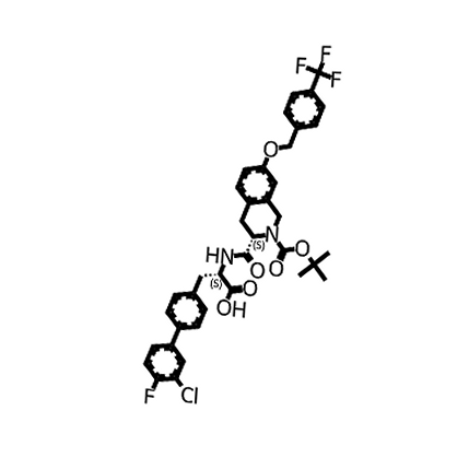 CC(C)(C)OC(=O)N1Cc2cc(OCc3ccc(C(F)(F)F)cc3)ccc2C[C@H]1C(=O)N[C@@H](Cc1ccc(-c2ccc(F)c(Cl)c2)cc1)C(=O)O